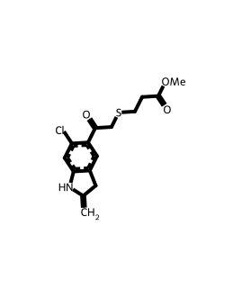 C=C1Cc2cc(C(=O)CSCCC(=O)OC)c(Cl)cc2N1